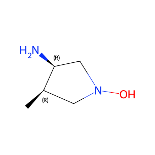 C[C@@H]1CN(O)C[C@@H]1N